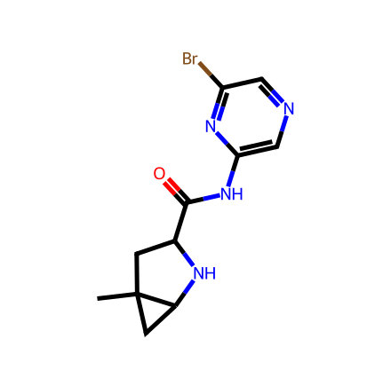 CC12CC(C(=O)Nc3cncc(Br)n3)NC1C2